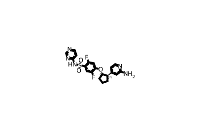 Nc1cc([C@H]2CCC[C@@H]2Oc2cc(F)c(S(=O)(=O)Nc3ccncn3)cc2F)ccn1